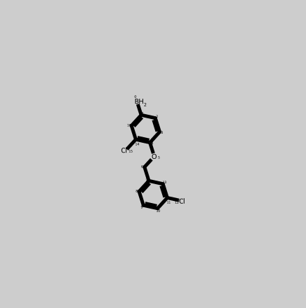 Bc1ccc(OCc2cccc(Cl)c2)c(Cl)c1